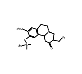 COc1cc2c(cc1O[Si](C)(C)C(C)(C)C)C1CC(=O)C(CC(C)C)CN1CC2